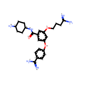 N=C(N)CCCOc1cc(Oc2ccc(C(=N)N)cc2)cc(C(=O)NC2CCC(N)CC2)c1